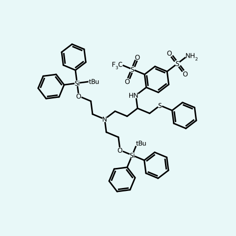 CC(C)(C)[Si](OCCN(CCO[Si](c1ccccc1)(c1ccccc1)C(C)(C)C)CCC(CSc1ccccc1)Nc1ccc(S(N)(=O)=O)cc1S(=O)(=O)C(F)(F)F)(c1ccccc1)c1ccccc1